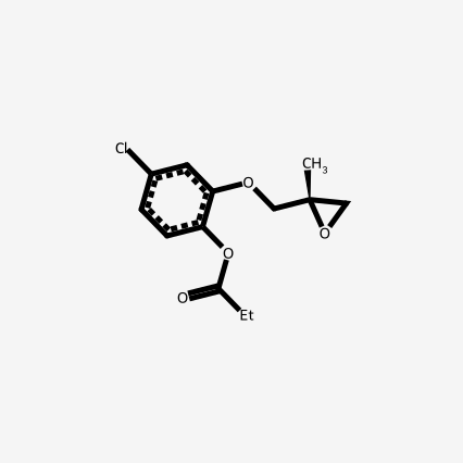 CCC(=O)Oc1ccc(Cl)cc1OC[C@]1(C)CO1